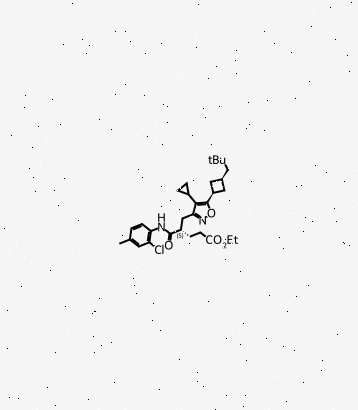 CCOC(=O)CC[C@@H](Cc1noc([C@H]2C[C@@H](CC(C)(C)C)C2)c1C1CC1)C(=O)Nc1ccc(C)cc1Cl